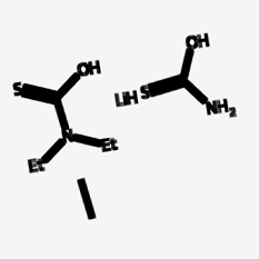 CC.CCN(CC)C(O)=S.NC(O)=S.[LiH]